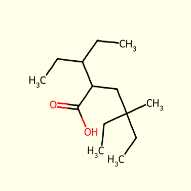 CCC(CC)C(CC(C)(CC)CC)C(=O)O